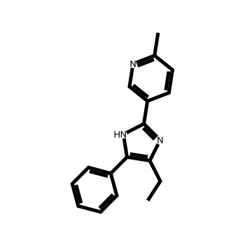 CCc1nc(-c2ccc(C)nc2)[nH]c1-c1ccccc1